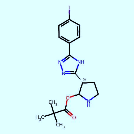 CC(C)(C)C(=O)OC1NCC[C@H]1c1nnc(-c2ccc(I)cc2)[nH]1